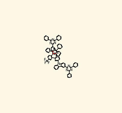 FC(F)(F)c1ccc(-n2c3ccccc3c3cc(-c4nc(-c5ccccc5)nc(-c5ccccc5)n4)ccc32)c(-c2cc(-n3c4ccccc4c4cc(-c5nc(-c6ccccc6)nc(-c6ccccc6)n5)ccc43)ccc2-c2nc(-c3ccccc3)nc(-c3ccccc3)n2)c1